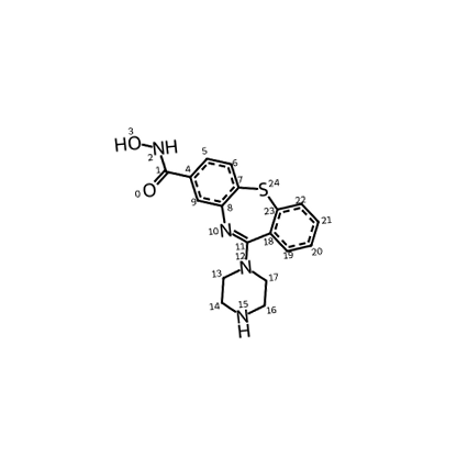 O=C(NO)c1ccc2c(c1)N=C(N1CCNCC1)c1ccccc1S2